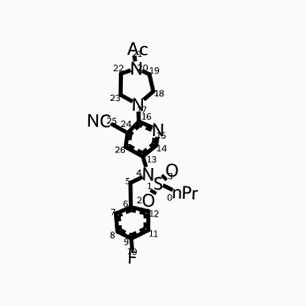 CCCS(=O)(=O)N(Cc1ccc(F)cc1)c1cnc(N2CCN(C(C)=O)CC2)c(C#N)c1